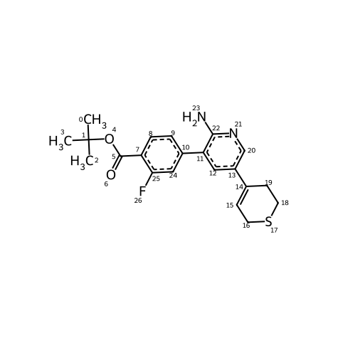 CC(C)(C)OC(=O)c1ccc(-c2cc(C3=CCSCC3)cnc2N)cc1F